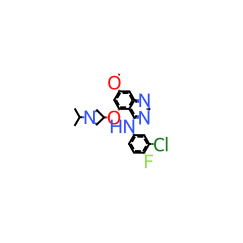 COc1cc(OC2CN(C(C)C)C2)c2c(Nc3ccc(F)c(Cl)c3)ncnc2c1